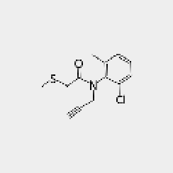 C#CCN(C(=O)CSC)c1c(C)cccc1Cl